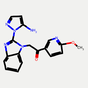 COc1ccc(C(=O)Cn2c(-n3nccc3N)nc3ccccc32)cn1